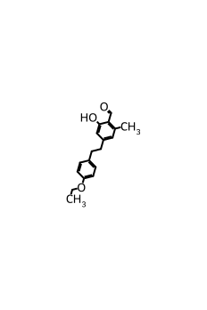 CCOc1ccc(CCc2cc(C)c(C=O)c(O)c2)cc1